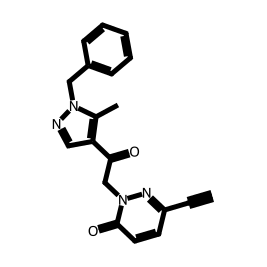 C#Cc1ccc(=O)n(CC(=O)c2cnn(Cc3ccccc3)c2C)n1